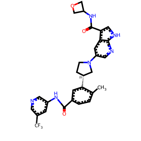 Cc1ccc(C(=O)Nc2cncc(C(F)(F)F)c2)cc1[C@@H]1CCN(c2cnc3[nH]cc(C(=O)NC4COC4)c3c2)C1